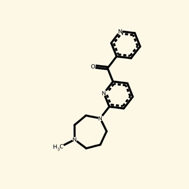 CN1CCCN(c2cccc(C(=O)c3cccnc3)n2)CC1